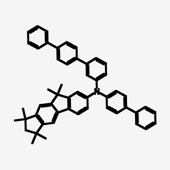 CC1(C)CC(C)(C)c2cc3c(cc21)-c1ccc(N(c2ccc(-c4ccccc4)cc2)c2cccc(-c4ccc(-c5ccccc5)cc4)c2)cc1C3(C)C